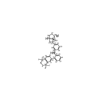 CC1(C)CCC(C)(C)c2cc(-c3ccccc3Nc3cccc(C45C[C@H]6CC[C@@H](C4)N65)c3)ccc21